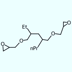 CCCC(COCC1CO1)CC(CC)COCC1CO1